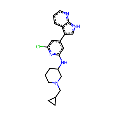 Clc1cc(-c2c[nH]c3ncccc23)cc(NC2CCCN(CC3CC3)C2)n1